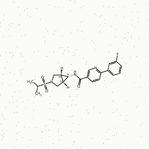 CC(C)S(=O)(=O)N1C[C@@H]2[C@H](C1)[C@@H]2NC(=O)c1ccc(-c2cccc(F)c2)nc1